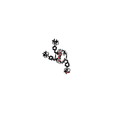 CC1(C)OB(c2ccc(CN3CCNCCN4CCNCCNCCN(CC3)CCN(Cc3ccc(B5OC(C)(C)C(C)(C)O5)cc3)CCN(Cc3ccc(B5OC(C)(C)C(C)(C)O5)cc3)CC4)cc2)OC1(C)C